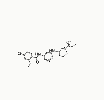 CCc1cc(Cl)ccc1C(=O)Nc1cncc(NC2CCCN([S+]([O-])CC)C2)c1